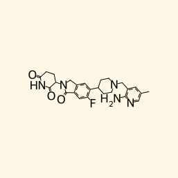 Cc1cnc(N)c(CN2CCC(c3cc4c(cc3F)C(=O)N(C3CCC(=O)NC3=O)C4)CC2)c1